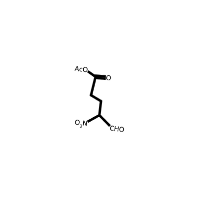 CC(=O)OC(=O)CCC(C=O)[N+](=O)[O-]